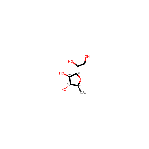 CC(=O)O[C@@H]1O[C@@H](C(O)CO)[C@H](O)[C@H]1O